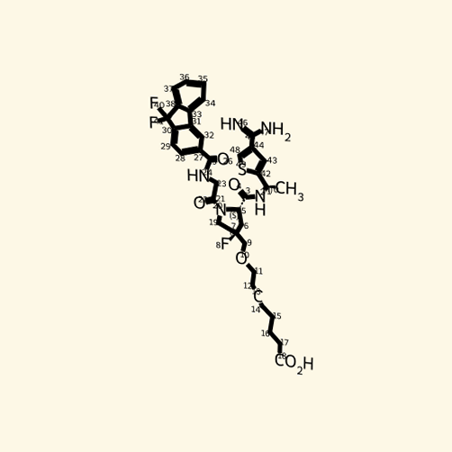 C[C@@H](NC(=O)[C@@H]1C[C@](F)(COCCCCCCCC(=O)O)CN1C(=O)CNC(=O)c1ccc2c(c1)-c1ccccc1C2(F)F)c1cc(C(=N)N)cs1